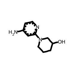 Nc1ccnc(N2CCCC(O)C2)c1